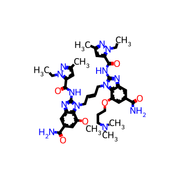 CCn1nc(C)cc1C(=O)Nc1nc2cc(C(N)=O)cc(OC)c2n1CC=CCn1c(NC(=O)c2cc(C)nn2CC)nc2cc(C(N)=O)cc(OCCCN(C)C)c21